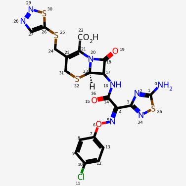 Nc1nc(/C(=N/Oc2ccc(Cl)cc2)C(=O)NC2C(=O)N3C(C(=O)O)=C(CSc4cnns4)CS[C@H]23)ns1